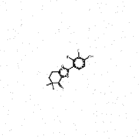 CC1(C)CCc2nc(-c3ccc(O)c(F)c3F)sc2C1=O